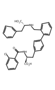 O=C(N[C@@H](Cc1ccc(-c2ccccc2CN[C@H](Cc2ccccc2)C(=O)O)cc1)C(=O)O)c1ccccc1Cl